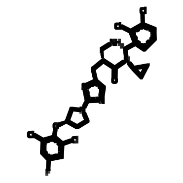 NC[C@@H](Cc1cnc(N2CC[C@@H](Oc3c(Cl)cc(F)cc3Cl)C2)s1)C(=O)N(Cc1cccc(Cl)c1Cl)C1CC1